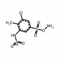 Cc1c(Cl)cc(S(=O)(=O)ON)cc1N[SH](=O)=O